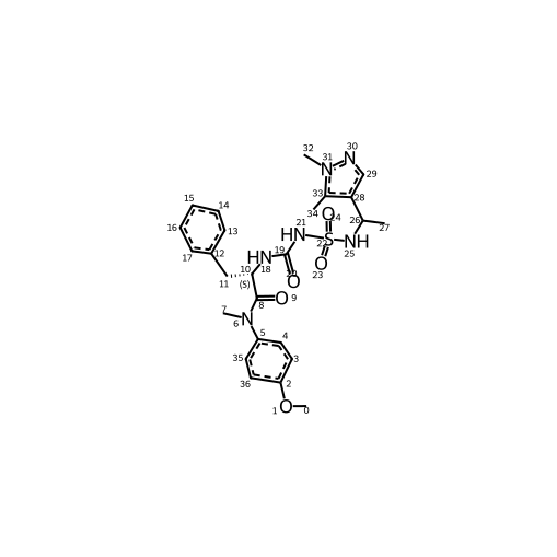 COc1ccc(N(C)C(=O)[C@H](Cc2ccccc2)NC(=O)NS(=O)(=O)NC(C)c2cnn(C)c2C)cc1